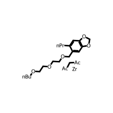 CC(=O)CC(C)=O.CCCCOCCOCCOCc1cc2c(cc1CCC)OCO2.[Zr]